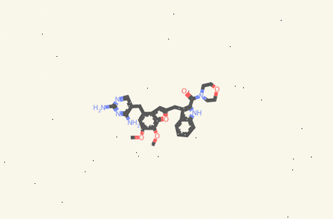 COc1cc(Cc2cnc(N)nc2N)c2cc(Cc3c(C(=O)N4CCOCC4)[nH]c4ccccc34)oc2c1OC